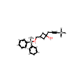 CC(C)(C)[Si](OCC1CC(O)(CC#C[Si](C)(C)C)C1)(c1ccccc1)c1ccccc1